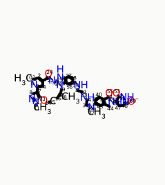 Cc1cc2cc(n1)-c1cnn(C)c1OCCC[C@@H](C)CN1/C(=N/C2=O)Nc2ccc(NCCNCCN(C)c3ccc4c(c3)CN([C@H]3CC[NH+]([O-])NC3=O)C4=O)cc21